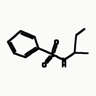 CCC(C)NS(=O)(=O)c1ccccc1